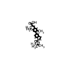 C/C(=C\c1cc(C)c(-c2ccc3c(c2)CCN3C(=O)OC(C)(C)C)cc1C)C(=O)O